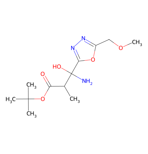 COCc1nnc(C(N)(O)C(C)C(=O)OC(C)(C)C)o1